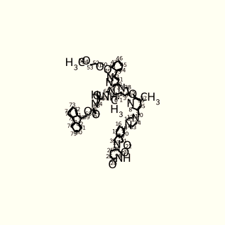 CC[C@@]12C[C@@H](Oc3ncc(CN4CCN(c5ccc6c(c5)C(=O)N([C@H]5CCC(=O)NC5=O)C6)CC4)cc3C)CN1c1cc(-c3ccccc3OCOCCOC)nnc1N(CNC(=O)CNC(=O)OCC1c3ccccc3-c3ccccc31)C2